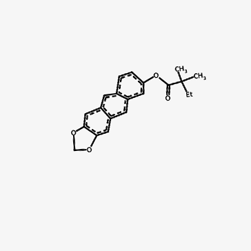 CCC(C)(C)C(=O)Oc1ccc2cc3cc4c(cc3cc2c1)OCO4